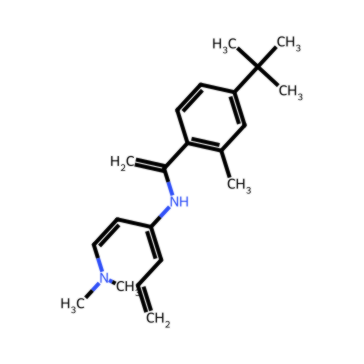 C=C/C=C(\C=C/N(C)C)NC(=C)c1ccc(C(C)(C)C)cc1C